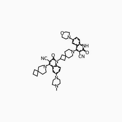 CN1CCN(c2ccc3c(c2)c(N2CCC4(CCC4)CC2)c(C#N)c(=O)n3C2CC3(CCN(c4c(C#N)c(=O)[nH]c5ccc(N6CCOCC6)cc45)CC3)C2)CC1